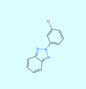 [O]c1cccc(-n2nc3ccccc3n2)c1